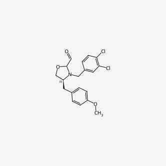 COc1ccc(C[C@H]2COC(C=O)N2Cc2ccc(Cl)c(Cl)c2)cc1